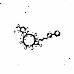 CC[C@H]1OC(=O)[C@H](C)C(=O)[C@H](C)[C@@H](O[C@@H]2O[C@H](C)C[C@H](N(C)C)[C@H]2O)[C@@](C)(OC)C[C@H](C)C(=O)[C@@H](C)[C@H]2N(CCCCn3cnc(-c4cccnc4)c3)C(=O)O[C@]12C